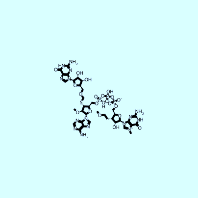 COCC[C@H]1[C@@H](O)[C@H](n2c[n+](C)c3c(=O)[nH]c(N)nc32)O[C@@H]1COP(=O)([O-])OP(=O)(O)OP(=O)(O)OC[C@H]1O[C@@H](n2cnc3c(N)ncnc32)[C@H](OC)[C@@H]1SCOC[C@H]1O[C@@H](n2cnc3c(=O)[nH]c(N)nc32)[C@H](O)[C@@H]1O